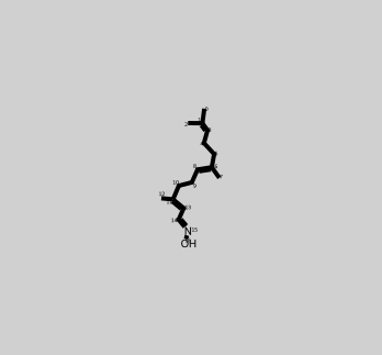 CC(C)=CCCC(C)=CCCC(C)=CC=NO